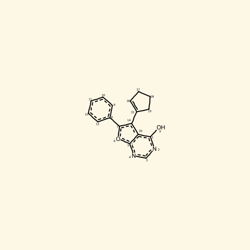 Oc1ncnc2oc(-c3ccccc3)c(C3=CCCC3)c12